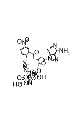 [N-]=[N+]=NCc1ccc([N+](=O)[O-])cc1C(=O)CC1C[C@H](n2cnc3c(N)ncnc32)O[C@@H]1COP(=O)(O)OP(=O)(O)OP(=O)(O)O